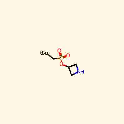 CC(C)(C)CS(=O)(=O)OC1CNC1